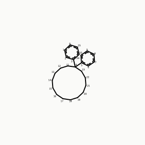 c1ccc(C2(c3ccccc3)CCCCCCCCCCCCC2)cc1